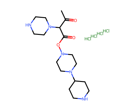 CC(=O)C(C(=O)ON1CCN(C2CCNCC2)CC1)N1CCNCC1.Cl.Cl.Cl.Cl